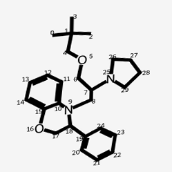 CC(C)(C)COCC(CN1c2ccccc2OCC1c1ccccc1)N1CCCC1